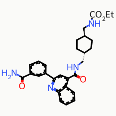 CCOC(=O)NC[C@H]1CC[C@H](CNC(=O)c2cc(-c3cccc(C(N)=O)c3)nc3ccccc23)CC1